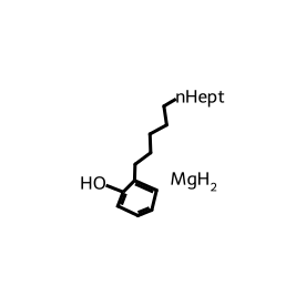 CCCCCCCCCCCCc1ccccc1O.[MgH2]